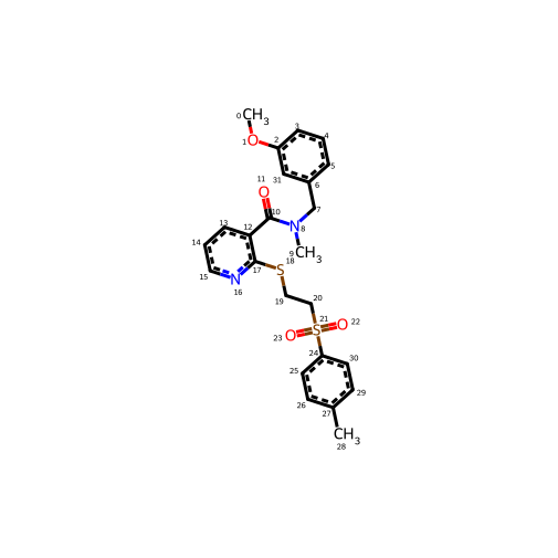 COc1cccc(CN(C)C(=O)c2cccnc2SCCS(=O)(=O)c2ccc(C)cc2)c1